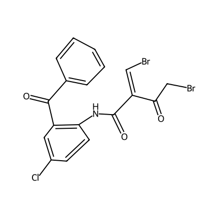 O=C(CBr)C(=CBr)C(=O)Nc1ccc(Cl)cc1C(=O)c1ccccc1